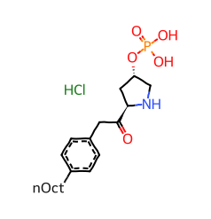 CCCCCCCCc1ccc(CC(=O)[C@H]2C[C@H](OP(=O)(O)O)CN2)cc1.Cl